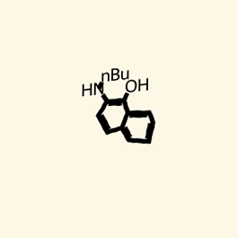 CCCCNc1ccc2ccccc2c1O